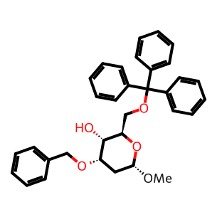 CO[C@@H]1C[C@H](OCc2ccccc2)[C@H](O)[C@@H](COC(c2ccccc2)(c2ccccc2)c2ccccc2)O1